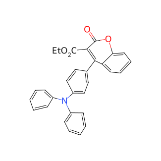 CCOC(=O)c1c(-c2ccc(N(c3ccccc3)c3ccccc3)cc2)c2ccccc2oc1=O